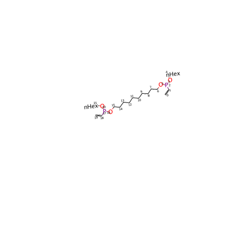 C=CP(OCCCCCC)OCCCCCCCCCCOP(C=C)OCCCCCC